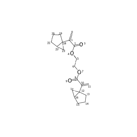 C=C(C(=O)OCCOC(=O)C(=C)C12CCCC1C2)C12CCCC1C2